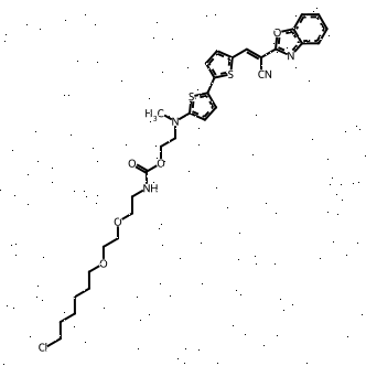 CN(CCOC(=O)NCCOCCOCCCCCCCl)c1ccc(-c2ccc(/C=C(\C#N)c3nc4ccccc4o3)s2)s1